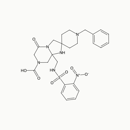 O=C(O)N1CC(=O)N2CC3(CCN(Cc4ccccc4)CC3)NC2(CNS(=O)(=O)c2ccccc2[N+](=O)[O-])C1